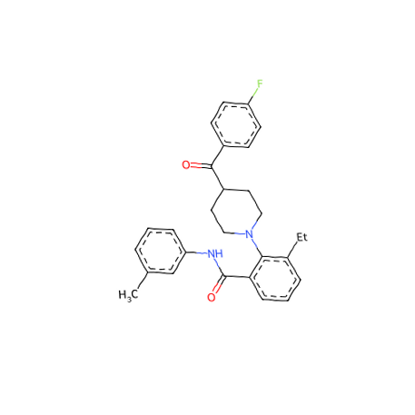 CCc1cccc(C(=O)Nc2cccc(C)c2)c1N1CCC(C(=O)c2ccc(F)cc2)CC1